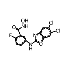 O=C(NO)c1cc(Nc2nc3cc(Cl)c(Cl)cc3o2)ccc1F